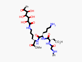 COC(=O)[C@H](CCCCNC(=O)C(O)C(O)C(O)C(O)C(=O)C(C)C)NC(=O)[C@H](CCCCN)NC(=O)[C@H](CC(=O)O)NC(=O)CNC(C)C